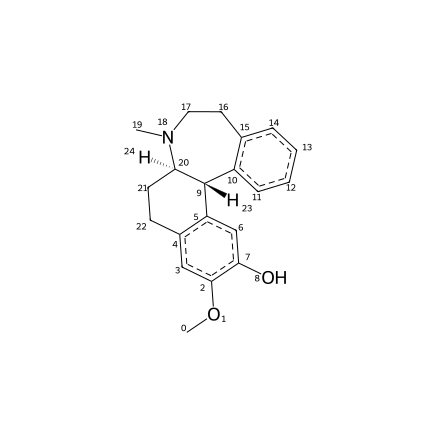 COc1cc2c(cc1O)[C@H]1c3ccccc3CCN(C)[C@@H]1CC2